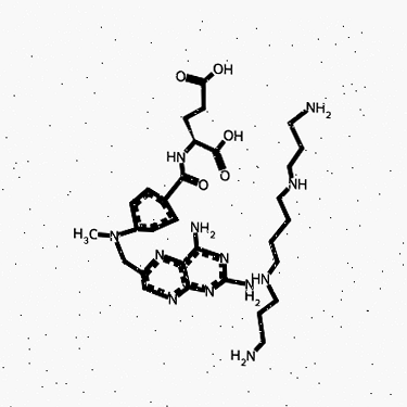 CN(Cc1cnc2nc(N)nc(N)c2n1)c1ccc(C(=O)N[C@@H](CCC(=O)O)C(=O)O)cc1.NCCCNCCCCNCCCN